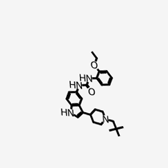 CCOc1ccccc1NC(=O)Nc1ccc2[nH]cc(C3CCN(CC(C)(C)C)CC3)c2c1